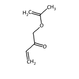 C=CC(=O)COC(=C)C